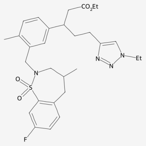 CCOC(=O)CC(CCc1cn(CC)nn1)c1ccc(C)c(CN2CC(C)Cc3ccc(F)cc3S2(=O)=O)c1